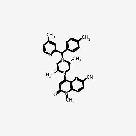 Cc1ccc(C(c2cc(C)ccn2)N2C[C@H](C)N(c3cc(=O)n(C)c4ccc(C#N)nc34)C[C@H]2C)cc1